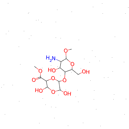 COC(=O)C1OC(OC2C(CO)OC(OC)C(N)C2O)C(O)OC1O